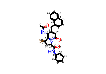 CC(=O)Nc1c(Cc2cccc3ccccc23)cc(=O)n2c1C(=S)CC2C(=O)Nc1ccccc1